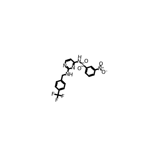 O=[N+]([O-])c1cccc(S(=O)(=O)Nc2ccnc(NCc3ccc(C(F)(F)F)cc3)n2)c1